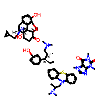 CC(CN1c2ccccc2Sc2ccccc21)N(C)C.CC[C@@H](c1cccc(O)c1)[C@@H](C)CN(C)C.Cn1c(=O)c2c(ncn2C)n(C)c1=O.O=C1CC[C@@]2(O)[C@H]3Cc4ccc(O)c5c4[C@@]2(CCN3CC2CC2)[C@H]1O5